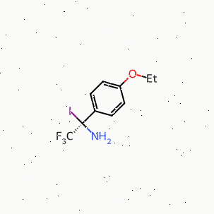 CCOc1ccc([C@@](N)(I)C(F)(F)F)cc1